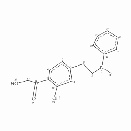 CN(CCc1ccc(C(=O)CO)c(O)c1)c1ccccc1